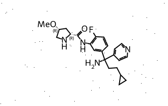 CO[C@H]1CN[C@@H](C(=O)Nc2cc(C(N)(CCC3CC3)c3ccncc3)ccc2F)C1